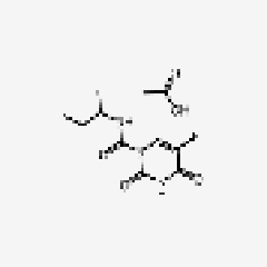 CC(=O)O.CCC(C)NC(=O)n1cc(F)c(=O)[nH]c1=O